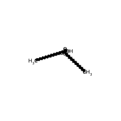 CCCCCCCCCCCCCCCCCCOCC(OCCCCCCCCCCCCCCCCCC)C(=O)O